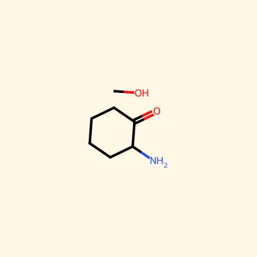 CO.NC1CCCCC1=O